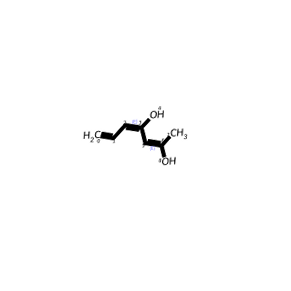 C=C/C=C(O)\C=C(/C)O